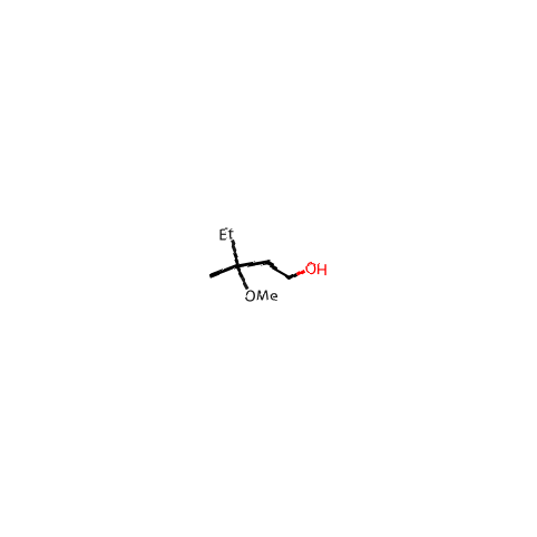 CCC(C)(CCO)OC